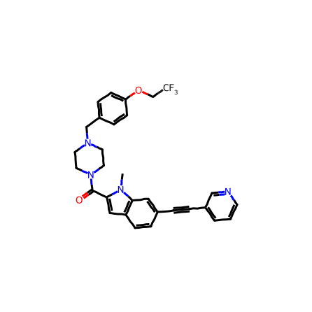 Cn1c(C(=O)N2CCN(Cc3ccc(OCC(F)(F)F)cc3)CC2)cc2ccc(C#Cc3cccnc3)cc21